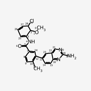 COC1C(NC(=O)c2ccc(C)c(-c3ccc4nc(N)ncc4c3)c2)=CC=CC1Cl